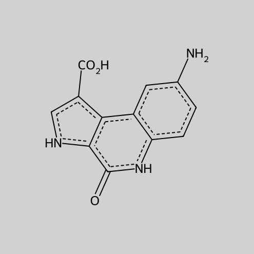 Nc1ccc2[nH]c(=O)c3[nH]cc(C(=O)O)c3c2c1